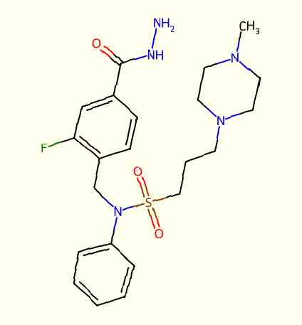 CN1CCN(CCCS(=O)(=O)N(Cc2ccc(C(=O)NN)cc2F)c2ccccc2)CC1